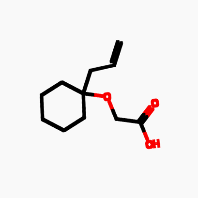 C=CCC1(OCC(=O)O)CCCCC1